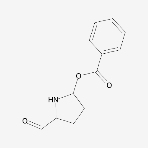 O=CC1CCC(OC(=O)c2ccccc2)N1